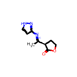 C/C(=N\c1cc[nH]n1)C1CCOC1=O